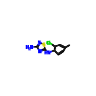 Cc1ccc(Nc2nc(N)ns2)c(Cl)c1